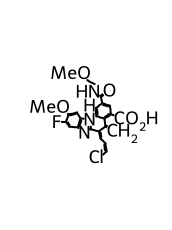 C=C(/C(=C\C=C/Cl)c1nc2cc(F)c(OC)cc2[nH]1)c1ccc(C(=O)NCCOC)cc1C(=O)O